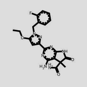 CCOc1cc(-c2nc(N)c3c(n2)NC(=O)C3(C)C(N)=O)nn1Cc1ccccc1F